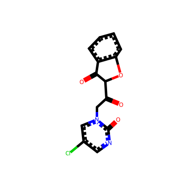 O=C(Cn1cc(Cl)cnc1=O)C1Oc2ccccc2C1=O